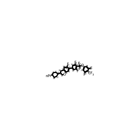 CCCC1CCC(C2COc3cc(-c4cc(F)c(C(F)(F)Oc5cc(F)c(C(F)(F)F)c(F)c5)c(F)c4)c(F)cc3C2)CC1